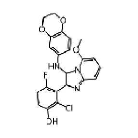 COC1=CC=CC2=NC(c3c(F)ccc(O)c3Cl)C(Nc3ccc4c(c3)OCCO4)N12